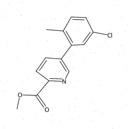 COC(=O)c1ccc(-c2cc(Cl)ccc2C)cn1